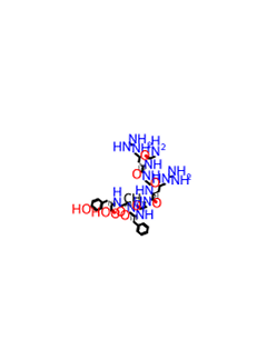 C[C@H](NC(=O)[C@H](Cc1ccccc1)NC(=O)CNC(=O)[C@H](CCCNC(=N)N)NC(=O)CNC(=O)[C@H](CCCNC(=N)N)NC(=O)CN)C(=O)N[C@@H](Cc1ccc(O)cc1)C(=O)O